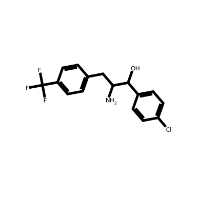 NC(Cc1ccc(C(F)(F)F)cc1)C(O)c1ccc(Cl)cc1